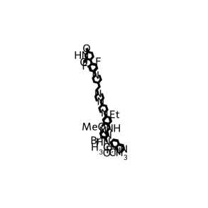 CCc1cc(Nc2ncc(Br)c(Nc3ccc4cncnc4c3P(C)(C)=O)n2)c(OC)cc1N1CCC(N2CCN(CCC3CCN(c4cc(F)c(C5CCC(=O)NC5=O)c(F)c4)CC3)CC2)CC1